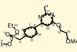 CCOP(=O)(Cc1ccc(-c2cc(OCCOC)nc(C)n2)cc1)OCC